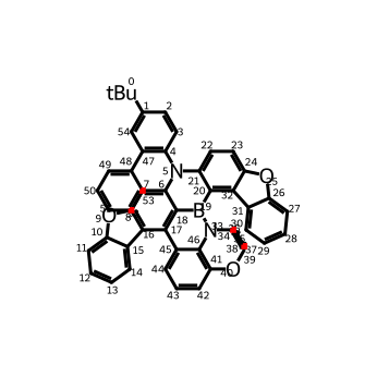 CC(C)(C)c1ccc(N2c3cc4oc5ccccc5c4c4c3B(c3c2ccc2oc5ccccc5c32)N2c3ccccc3Oc3cccc-4c32)c(-c2ccccc2)c1